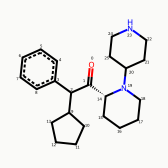 O=C(C(c1ccccc1)C1CCCC1)[C@H]1CCCCN1C1CCNCC1